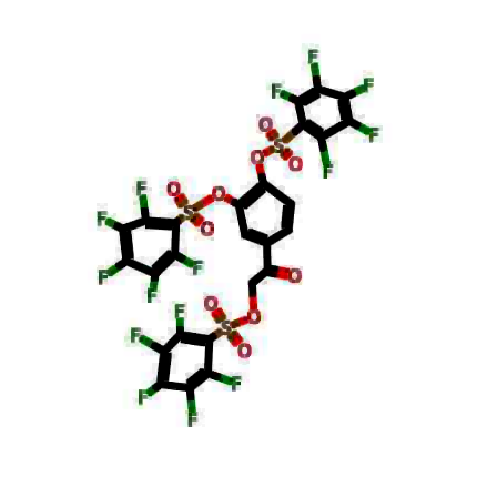 O=C(COS(=O)(=O)c1c(F)c(F)c(F)c(F)c1F)c1ccc(OS(=O)(=O)c2c(F)c(F)c(F)c(F)c2F)c(OS(=O)(=O)c2c(F)c(F)c(F)c(F)c2F)c1